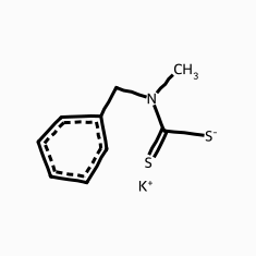 CN(Cc1ccccc1)C(=S)[S-].[K+]